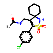 CCC(=O)[N]CC1=C(c2ccc(Cl)cc2)S(=O)(=O)NC12CCCCC2